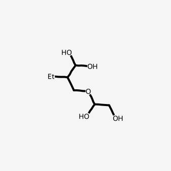 CCC(COC(O)CO)C(O)O